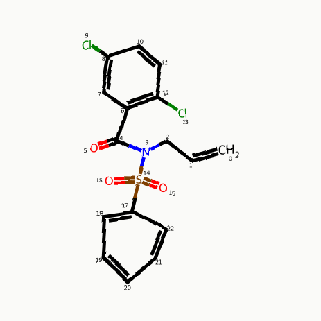 C=CCN(C(=O)c1cc(Cl)ccc1Cl)S(=O)(=O)c1ccccc1